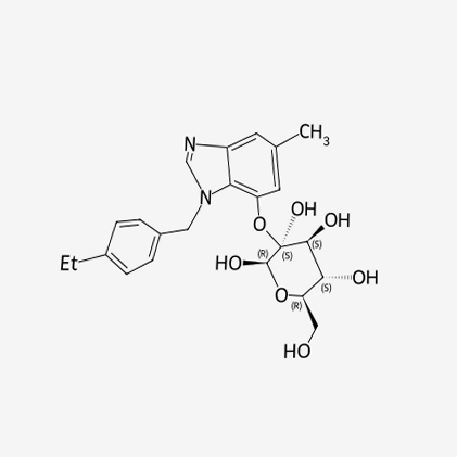 CCc1ccc(Cn2cnc3cc(C)cc(O[C@]4(O)[C@H](O)O[C@H](CO)[C@@H](O)[C@@H]4O)c32)cc1